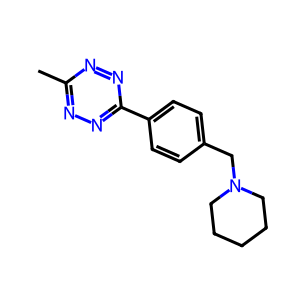 Cc1nnc(-c2ccc(CN3CCCCC3)cc2)nn1